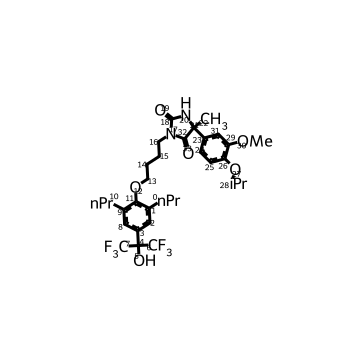 CCCc1cc(C(O)(C(F)(F)F)C(F)(F)F)cc(CCC)c1OCCCCN1C(=O)NC(C)(c2ccc(OC(C)C)c(OC)c2)C1=O